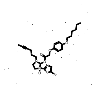 CC#CCCCN1CC[N+]([O-])(c2ncc(Br)s2)C1OC(=O)COc1ccc(OCCCCCC)cc1